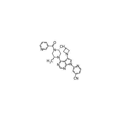 C[C@@H]1CN(c2ncnc3c2c(N2CCC2)cn3-c2cc(C#N)ccn2)[C@@H](C)CN1C(=O)c1cccnc1